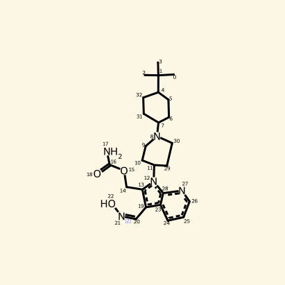 CC(C)(C)C1CCC(N2CCC(n3c(COC(N)=O)c(/C=N\O)c4cccnc43)CC2)CC1